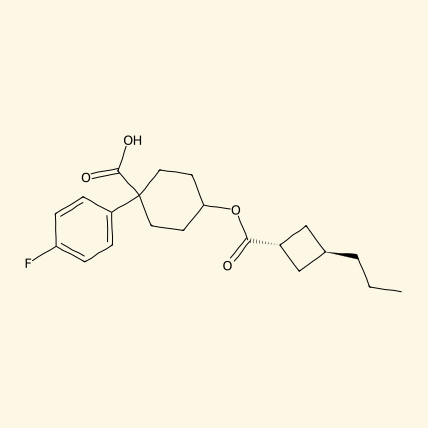 CCC[C@H]1C[C@H](C(=O)OC2CCC(C(=O)O)(c3ccc(F)cc3)CC2)C1